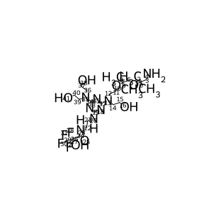 CC(C)(CN)OCC(C)(C)OCCN(CCO)c1nc(NCCNC(=O)C(O)(F)C(F)(F)F)nc(N(CCO)CCO)n1